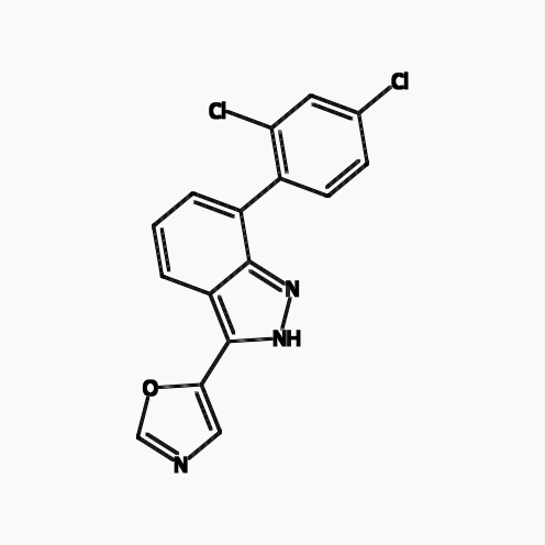 Clc1ccc(-c2cccc3c(-c4cnco4)[nH]nc23)c(Cl)c1